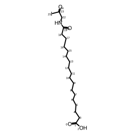 O=C(O)CCCCCCCCCCCCCCCCC(=O)NCC(=O)I